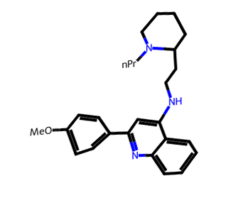 C[CH]CN1CCCCC1CCNc1cc(-c2ccc(OC)cc2)nc2ccccc12